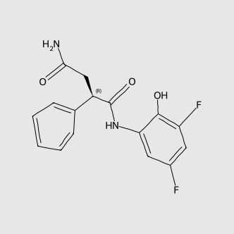 NC(=O)C[C@@H](C(=O)Nc1cc(F)cc(F)c1O)c1ccccc1